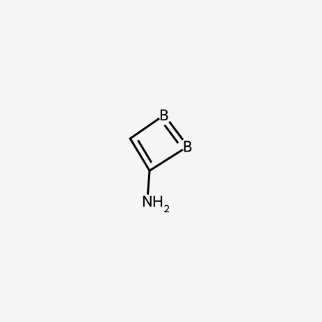 NC1=CB=B1